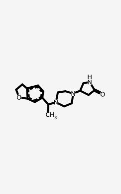 CC(c1ccc2c(c1)OCC2)N1CCN(C2CNC(=O)C2)CC1